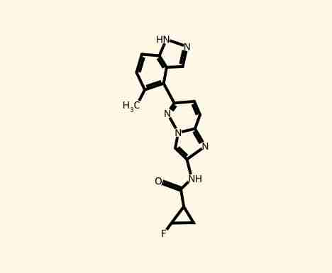 Cc1ccc2[nH]ncc2c1-c1ccc2nc(NC(=O)C3CC3F)cn2n1